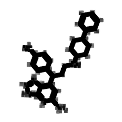 N#Cc1ccc(C(CCNC2CCC(c3ccccc3)CC2)c2cc(N)nc3[nH]nnc23)cc1